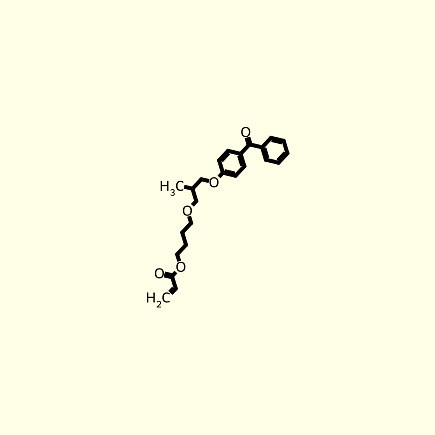 C=CC(=O)OCCCCOCC(C)COc1ccc(C(=O)c2ccccc2)cc1